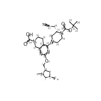 CN1C[C@H](F)C[C@@H]1COc1nc2c(c(N3CCN(C(=O)OC(C)(C)C)[C@@H](CC#N)C3)n1)CCN(C(=O)O)C2